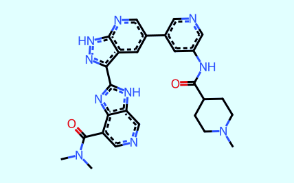 CN1CCC(C(=O)Nc2cncc(-c3cnc4[nH]nc(-c5nc6c(C(=O)N(C)C)cncc6[nH]5)c4c3)c2)CC1